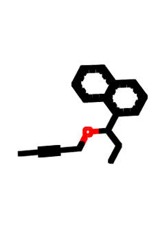 CC#CCOC(CC)c1cccc2ccccc12